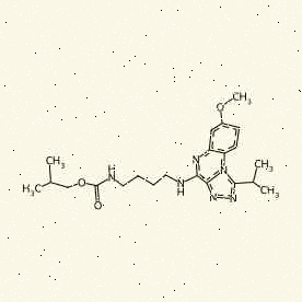 COc1ccc2c(c1)nc(NCCCCNC(=O)OCC(C)C)c1nnc(C(C)C)n12